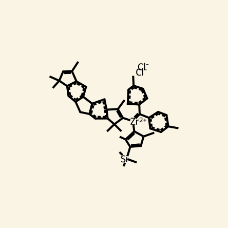 CC1=CC(C)(C)c2cc3c(cc21)-c1cc2c(cc1C3)C(C)(C)[C]([Zr+2]([C]1=C(C)C([Si](C)(C)C)=CC1C)=[C](c1ccc(C)cc1)c1ccc(C)cc1)=C2C.[Cl-].[Cl-]